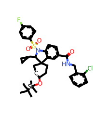 CC(C)(C)[Si](C)(C)OC1CCC2(CC1)c1cc(C(=O)NCc3ccccc3Cl)ccc1N(S(=O)(=O)c1ccc(F)cc1)C2C1CC1